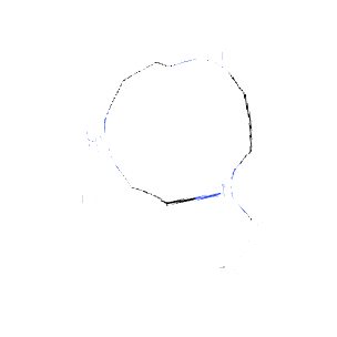 Cl.[CH3][Ti][N]1CCNCCNCC1